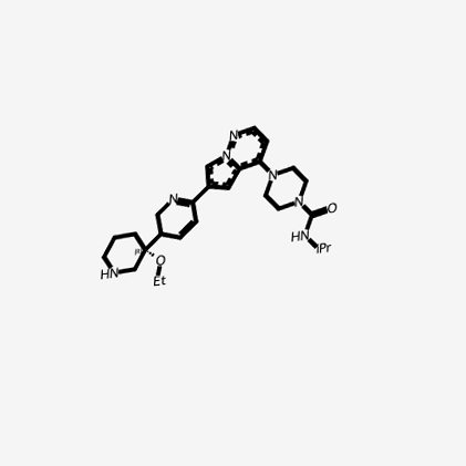 CCO[C@@]1(C2C=CC(c3cc4c(N5CCN(C(=O)NC(C)C)CC5)ccnn4c3)=NC2)CCCNC1